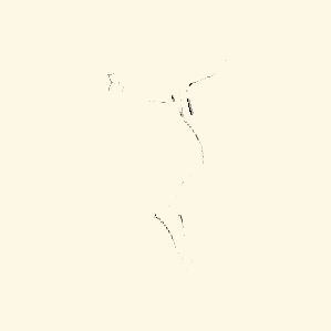 C=C[CH2][Ni]([CH3])[Br]